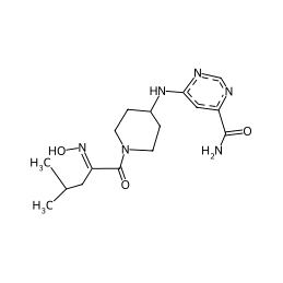 CC(C)CC(=NO)C(=O)N1CCC(Nc2cc(C(N)=O)ncn2)CC1